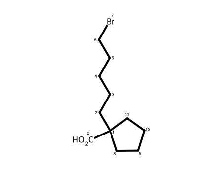 O=C(O)C1(CCCCCBr)CCCC1